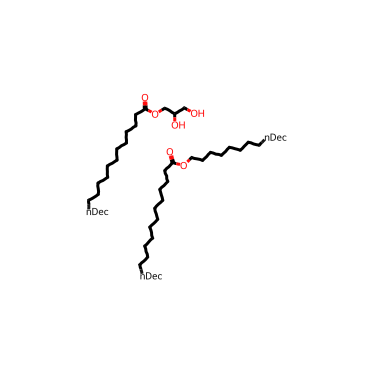 CCCCCCCCCCCCCCCCCCCCCC(=O)OCC(O)CO.CCCCCCCCCCCCCCCCCCCCCC(=O)OCCCCCCCCCCCCCCCCCC